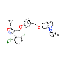 Cn1ccc2ccc(OCC34CCC(OCc5c(-c6c(Cl)cccc6Cl)noc5C5CC5)(CC3)CC4)cc21